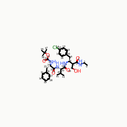 CCNC(=O)C(CO)[C@H](Cc1ccc(Cl)cc1)NC(=O)[C@@H](NC(=O)[C@H](Cc1ccccc1)NC(=O)OC(C)(C)C)C(C)C